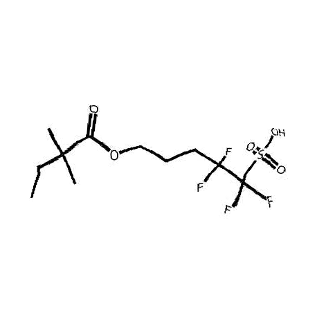 CCC(C)(C)C(=O)OCCCC(F)(F)C(F)(F)S(=O)(=O)O